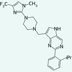 CC(C)c1ccccc1-c1ncc2[nH]cc(CN3CCN(c4nc(C(F)(F)F)cn4C)CC3)c2n1